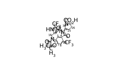 CC(C)N(C(=O)c1cc2c(cc1C(F)(F)F)OC(C)(C)C(=O)N2CCNC(=O)C(F)(F)F)[C@@H]1CCCN(C(=O)O)C1